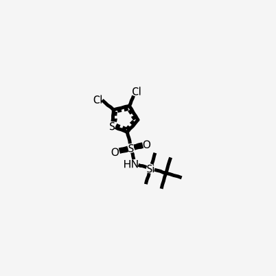 CC(C)(C)[Si](C)(C)NS(=O)(=O)c1cc(Cl)c(Cl)s1